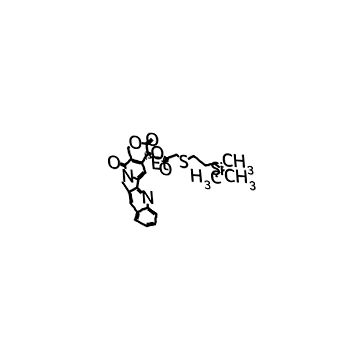 CC[C@@]1(OC(=O)CSCCC[Si](C)(C)C)C(=O)OCc2c1cc1n(c2=O)Cc2cc3ccccc3nc2-1